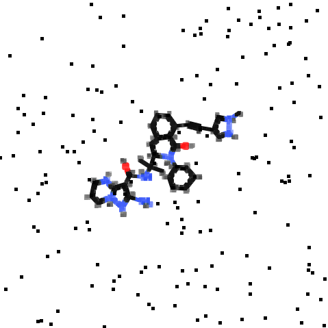 Cn1cc(C#Cc2cccc3cc(C(C)(C)NC(=O)c4c(N)nn5cccnc45)n(-c4ccccc4)c(=O)c23)cn1